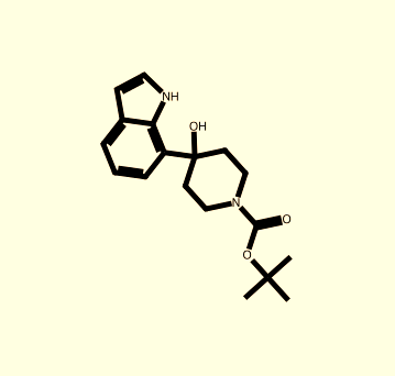 CC(C)(C)OC(=O)N1CCC(O)(c2cccc3cc[nH]c23)CC1